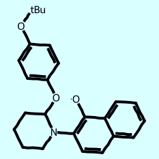 CC(C)(C)Oc1ccc(OC2CCCCN2c2ccc3ccccc3c2[O])cc1